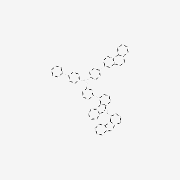 c1ccc(-c2ccc(N(c3ccc(-c4ccc5c(ccc6ccccc65)c4)cc3)c3cccc(-c4cccc5c4c4ccccc4n5-c4cccc5sc6ccccc6c45)c3)cc2)cc1